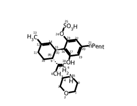 C1COCCN1.C=C(C)[C@@H]1CCC(C)=C[C@H]1c1c(O)cc(CCCCC)cc1OS(=O)(=O)O